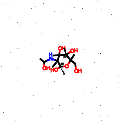 CC(O)NC1(C)C(C)(O)[C@](C)(O)C(C)(CO)O[C@@]1(C)O